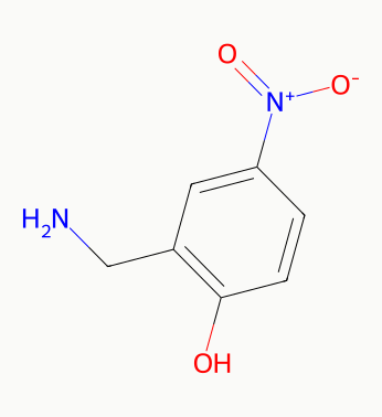 NCc1cc([N+](=O)[O-])ccc1O